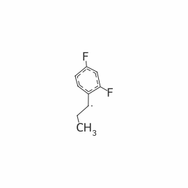 CC[CH]c1ccc(F)cc1F